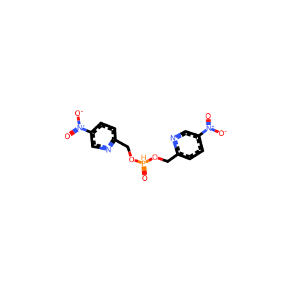 O=[N+]([O-])c1ccc(CO[PH](=O)OCc2ccc([N+](=O)[O-])cn2)nc1